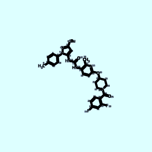 Cc1ccc(-n2nc(C(C)(C)C)cc2NC(=O)Nc2ccc(OC3CCN(C(=O)c4ccc(F)cc4F)CC3)nc2C)cc1